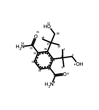 CC(C)(CO)c1c(C(N)=O)ccc(C(N)=O)c1C(C)(C)CO